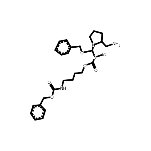 CCN(C(=O)OCCCCNC(=O)OCc1ccccc1)C(OCc1ccccc1)N1CCCC1CN